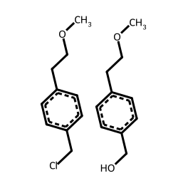 COCCc1ccc(CCl)cc1.COCCc1ccc(CO)cc1